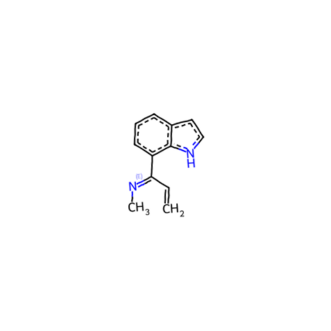 C=C/C(=N\C)c1cccc2cc[nH]c12